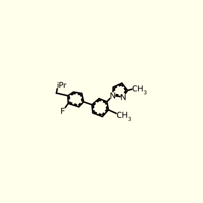 Cc1ccn(-c2cc(-c3ccc(CC(C)C)c(F)c3)ccc2C)n1